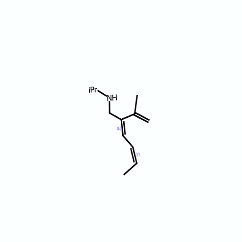 C=C(C)/C(=C\C=C/C)CNC(C)C